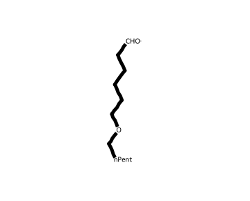 CCCCCCOCCCCC[C]=O